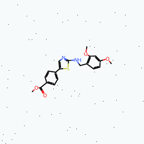 COC(=O)c1ccc(-c2cnc(NCc3ccc(OC)cc3OC)s2)cc1